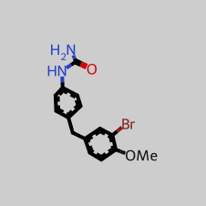 COc1ccc(Cc2ccc(NC(N)=O)cc2)cc1Br